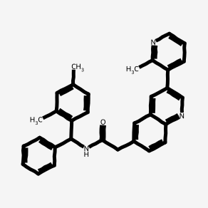 Cc1ccc(C(NC(=O)Cc2ccc3ncc(-c4cccnc4C)cc3c2)c2ccccc2)c(C)c1